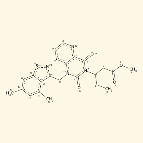 CCC(CC(=O)OC)n1c(=O)c2ncccc2n(Cc2nsc3cc(C)cc(C)c23)c1=O